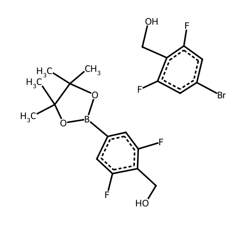 CC1(C)OB(c2cc(F)c(CO)c(F)c2)OC1(C)C.OCc1c(F)cc(Br)cc1F